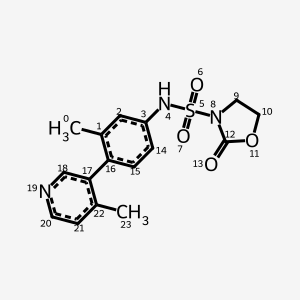 Cc1cc(NS(=O)(=O)N2CCOC2=O)ccc1-c1cnccc1C